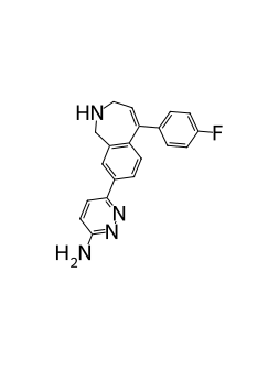 Nc1ccc(-c2ccc3c(c2)CNCC=C3c2ccc(F)cc2)nn1